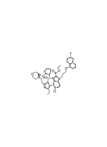 CCOC(=O)c1c(CCCOc2cccc3cc(F)ccc23)c2ccc(Cl)c(-c3c(CC)nn(CCN4CCOCC4)c3CO)c2n1Cc1ccccc1CBr